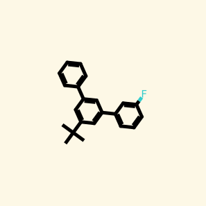 CC(C)(C)c1cc(-c2ccccc2)cc(-c2cccc(F)c2)c1